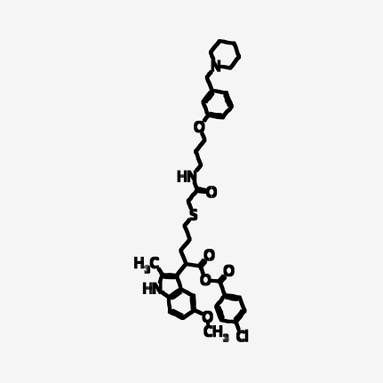 COc1ccc2[nH]c(C)c(C(CCCSCC(=O)NCCCOc3cccc(CN4CCCCC4)c3)C(=O)OC(=O)c3ccc(Cl)cc3)c2c1